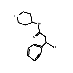 CC(CC(=O)NC1CCNCC1)c1ccccc1